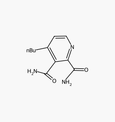 CCCCc1ccnc(C(N)=O)c1C(N)=O